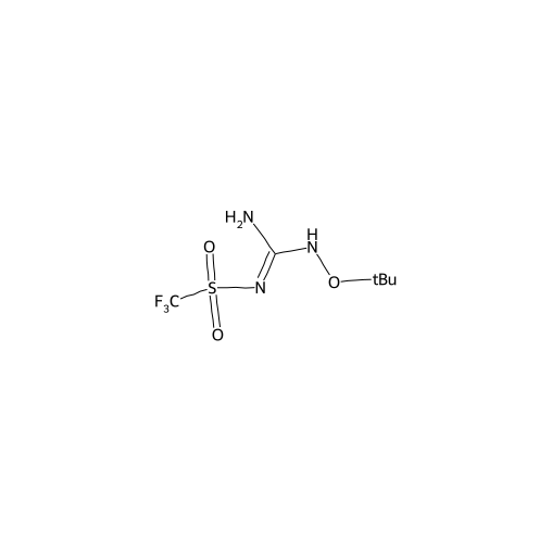 CC(C)(C)ONC(N)=NS(=O)(=O)C(F)(F)F